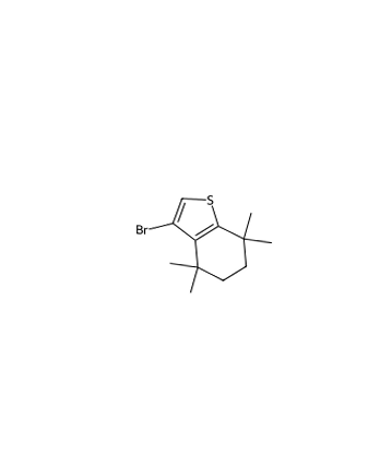 CC1(C)CCC(C)(C)c2c(Br)csc21